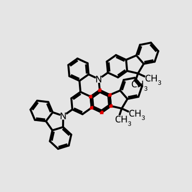 CC1(C)c2ccccc2-c2ccc(N(c3ccccc3-c3cc(-n4c5ccccc5c5ccccc54)cc4ccccc34)c3cccc4c3-c3ccccc3C4(C)C)cc21